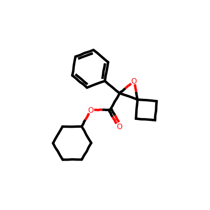 O=C(OC1CCCCC1)C1(c2ccccc2)OC12CCC2